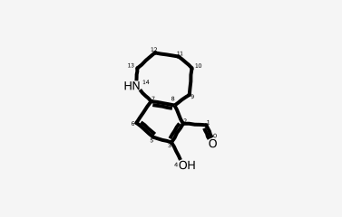 O=Cc1c(O)ccc2c1CCCCCN2